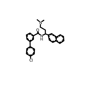 CN(C)CCC(NC(=O)c1cccc(-c2ccc(Cl)cc2)c1)c1ccc2ccccc2c1